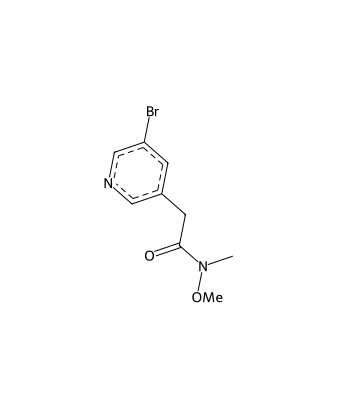 CON(C)C(=O)Cc1cncc(Br)c1